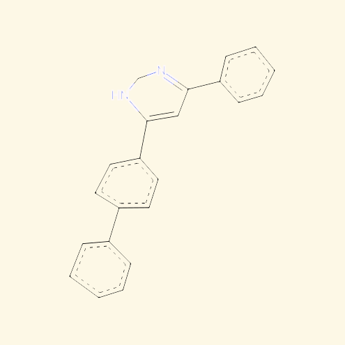 C1=C(c2ccc(-c3ccccc3)cc2)NCN=C1c1ccccc1